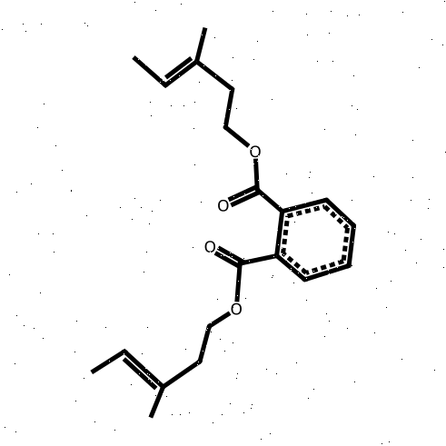 CC=C(C)CCOC(=O)c1ccccc1C(=O)OCCC(C)=CC